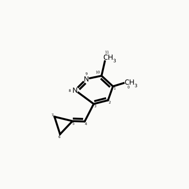 Cc1cc(C=C2CC2)nnc1C